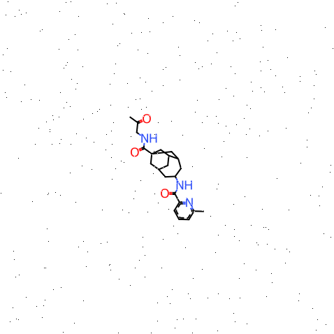 CC(=O)CNC(=O)C12CC3CC(NC(=O)c4cccc(C)n4)CC(C1)C(C3)C2